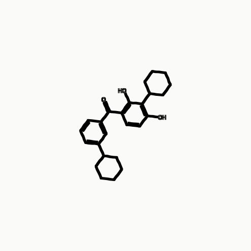 O=C(c1cccc(C2CCCCC2)c1)c1ccc(O)c(C2CCCCC2)c1O